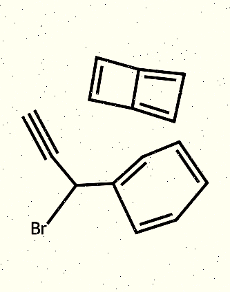 C#CC(Br)c1ccccc1.c1cc2ccc1-2